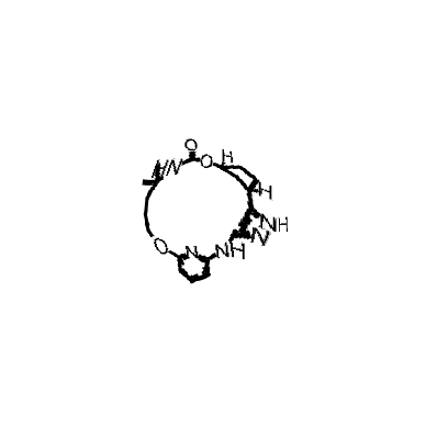 CC1(C)CCCOc2cccc(n2)Nc2cc([nH]n2)[C@H]2CC[C@H](C2)OC(=O)N1